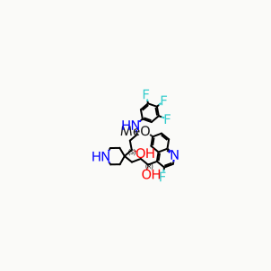 COc1ccc2ncc(F)c([C@H](O)CCC3([C@@H](O)CCNc4cc(F)c(F)c(F)c4)CCNCC3)c2c1